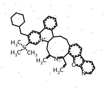 C=C/C1=N/C(=C)CC2C(CCc3ccc4c(oc5ncccc54)c31)c1ccccc1-c1cc(CC3CCCCC3)c([Si](C)(C)C)c[n+]12